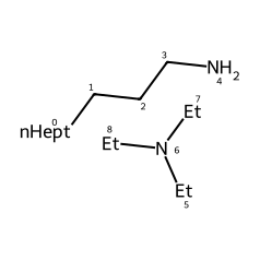 CCCCCCCCCCN.CCN(CC)CC